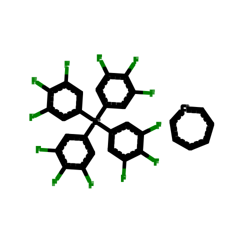 Fc1cc([B-](c2cc(F)c(F)c(F)c2)(c2cc(F)c(F)c(F)c2)c2cc(F)c(F)c(F)c2)cc(F)c1F.c1ccc[cH+]cc1